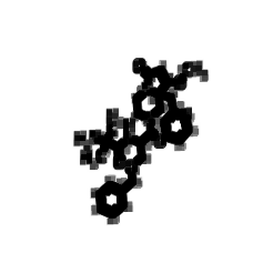 COC1=CC(=O)N2CCN(C(=O)C(COCc3ccccc3)NC(=O)C(C)(C)N)CC12Cc1ccccn1